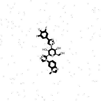 Cn1cnc2ccc(-n3cnnc3[C@@H]3O[C@H](CO)[C@H](O)[C@H](n4cc(-c5cc(F)c(F)c(F)c5)nn4)[C@H]3O)cc21